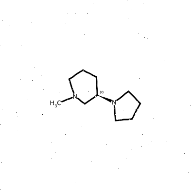 CN1CCC[C@@H](N2CCCC2)C1